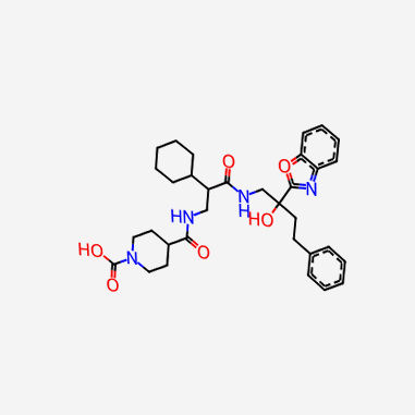 O=C(NCC(C(=O)NCC(O)(CCc1ccccc1)c1nc2ccccc2o1)C1CCCCC1)C1CCN(C(=O)O)CC1